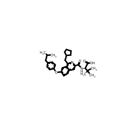 CC(C)Cc1ccc(Oc2ccc3cc(C(=O)N[C@H](C(=O)O)C(C)(C)C)nc(CC4CCCC4)c3c2)cc1